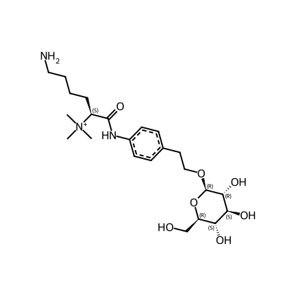 C[N+](C)(C)[C@@H](CCCCN)C(=O)Nc1ccc(CCO[C@@H]2O[C@H](CO)[C@@H](O)[C@H](O)[C@H]2O)cc1